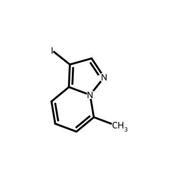 Cc1cccc2c(I)cnn12